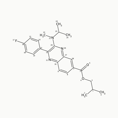 CC(C)COC(=O)c1ccc2nc(-c3ccc(F)cc3)c(N(C)C(C)C)nc2c1